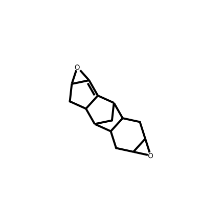 C1C2OC2=C2C3CC(C12)C1CC2OC2CC31